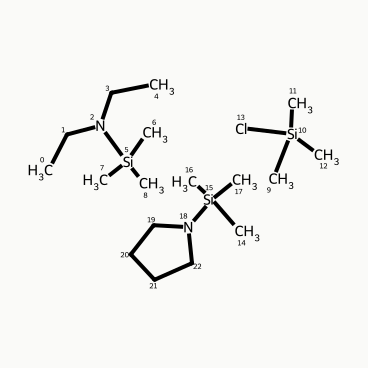 CCN(CC)[Si](C)(C)C.C[Si](C)(C)Cl.C[Si](C)(C)N1CCCC1